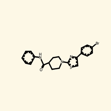 O=C(Nc1ccccc1)C1CCN(c2nc(-c3ccc(Br)cc3)cs2)CC1